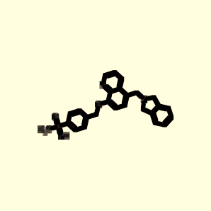 CS(=N)(=O)c1ccc(COc2ccc(CN3Cc4ccccc4C3)c3cccnc23)cc1